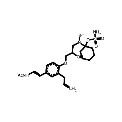 C=CCc1cc(C=CNC(C)=O)ccc1OCC(O)CN(C(C)C)C1(OS(N)(=O)=O)CCCCC1